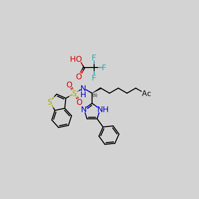 CC(=O)CCCCC[C@H](NS(=O)(=O)c1csc2ccccc12)c1ncc(-c2ccccc2)[nH]1.O=C(O)C(F)(F)F